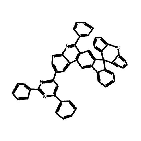 c1ccc(-c2cc(-c3ccc4nc(-c5ccccc5)c5cc6c(cc5c4c3)-c3ccccc3C63c4ccccc4Sc4ccccc43)nc(-c3ccccc3)n2)cc1